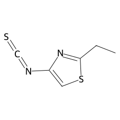 CCc1nc(N=C=S)cs1